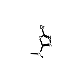 CN(C)c1nnc(Br)s1